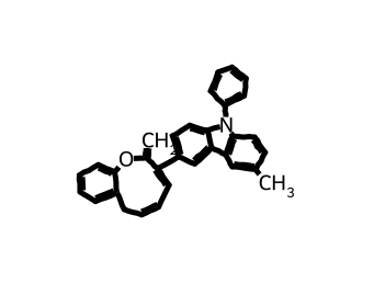 C=C1Oc2ccccc2C/C=C\C=C/1c1ccc2c(c1)c1cc(C)ccc1n2-c1ccccc1